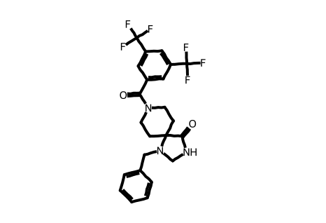 O=C(c1cc(C(F)(F)F)cc(C(F)(F)F)c1)N1CCC2(CC1)C(=O)NCN2Cc1ccccc1